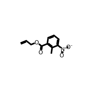 C=CCOC(=O)c1cccc([N+](=O)[O-])c1C